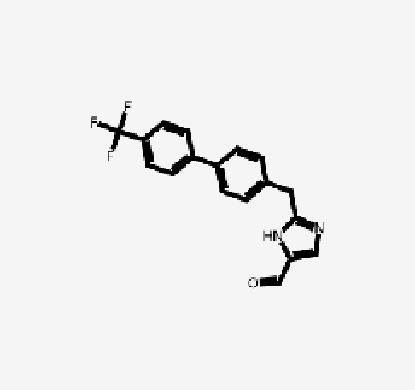 O=Cc1cnc(Cc2ccc(-c3ccc(C(F)(F)F)cc3)cc2)[nH]1